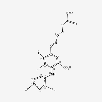 CNC(=O)CCON=Cc1cc(C(=O)O)c(Nc2ccc(I)cc2F)c(F)c1F